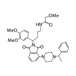 COCC(=O)NCCCC(c1ccc(OC)c(OC)c1)N1C(=O)c2cccc(N3CCN(C(C)c4ccccc4)CC3)c2C1=O